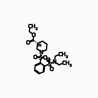 CCOC(=O)[C@@H]1CCCN(S(=O)(=O)c2ccccc2S(=O)(=O)N(CC)CC)C1